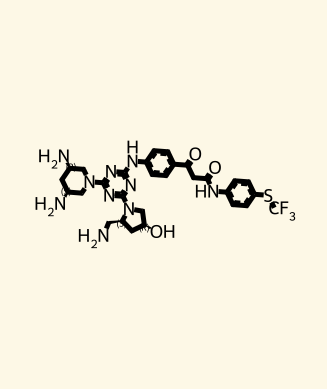 NC[C@@H]1C[C@@H](O)CN1c1nc(Nc2ccc(C(=O)CC(=O)Nc3ccc(SC(F)(F)F)cc3)cc2)nc(N2C[C@H](N)C[C@H](N)C2)n1